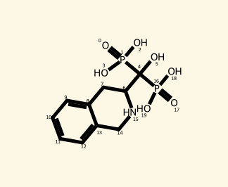 O=P(O)(O)C(O)(C1Cc2ccccc2CN1)P(=O)(O)O